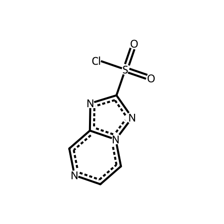 O=S(=O)(Cl)c1nc2cnccn2n1